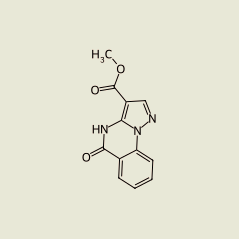 COC(=O)c1cnn2c1[nH]c(=O)c1ccccc12